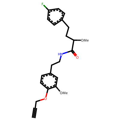 C#CCOc1ccc(CCNC(=O)C(CCc2ccc(F)cc2)OC)cc1OC